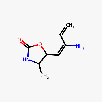 C=C/C(N)=C\C1OC(=O)NC1C